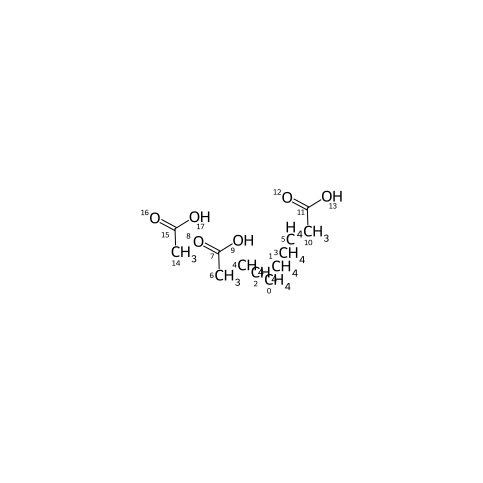 C.C.C.C.C.C.CC(=O)O.CC(=O)O.CC(=O)O